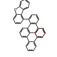 c1ccc(-c2cccc(-c3cccc4oc5ccccc5c34)c2-c2cccc3c4ccccc4c4ccccc4c23)cc1